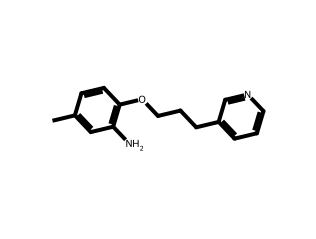 Cc1ccc(OCCCc2cccnc2)c(N)c1